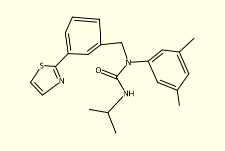 Cc1cc(C)cc(N(Cc2cccc(-c3nccs3)c2)C(=O)NC(C)C)c1